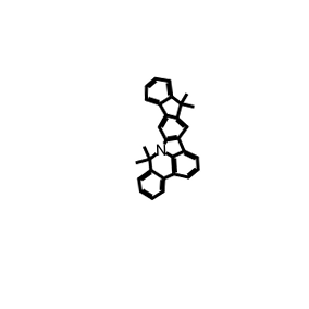 CC1(C)c2ccccc2-c2cc3c(cc21)c1cccc2c1n3C(C)(C)c1ccccc1-2